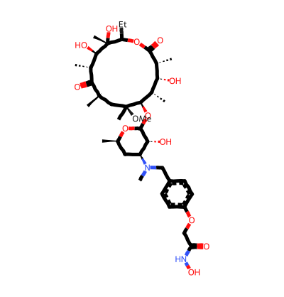 CCC1OC(=O)[C@H](C)[C@H](O)[C@H](C)[C@@H](OC2O[C@H](C)C[C@H](N(C)Cc3ccc(OCC(=O)NO)cc3)[C@H]2O)[C@@](C)(OC)C[C@@H](C)C(=O)[C@H](C)[C@@H](O)[C@]1(C)O